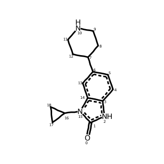 O=c1[nH]c2ccc(C3CCNCC3)cc2n1C1CC1